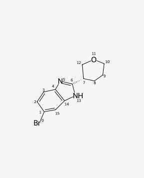 Brc1ccc2nc([C@H]3CCCOC3)[nH]c2c1